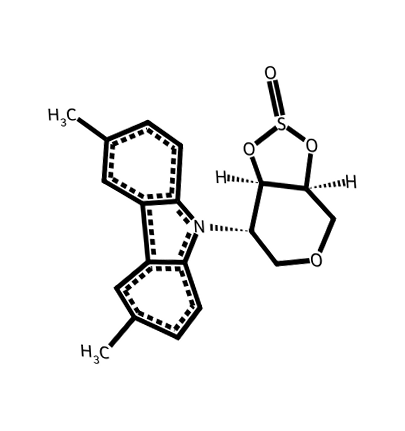 Cc1ccc2c(c1)c1cc(C)ccc1n2[C@H]1COC[C@@H]2OS(=O)O[C@@H]21